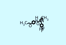 CCCC(=O)c1ccc(NC(=O)c2cn(C)nc2-c2ccc(C(F)(F)F)cc2)cc1